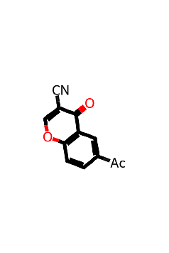 CC(=O)c1ccc2occ(C#N)c(=O)c2c1